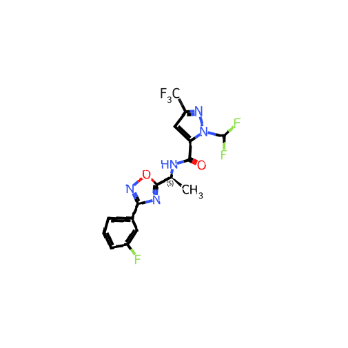 C[C@H](NC(=O)c1cc(C(F)(F)F)nn1C(F)F)c1nc(-c2cccc(F)c2)no1